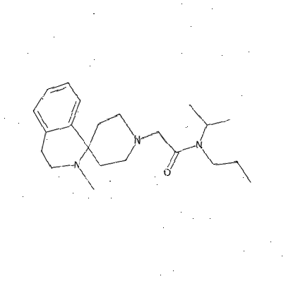 CCCN(C(=O)CN1CCC2(CC1)c1ccccc1CCN2C)C(C)C